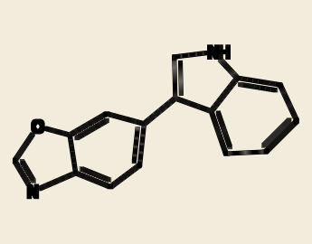 c1ccc2c(-c3ccc4ncoc4c3)c[nH]c2c1